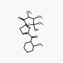 CC1CCCCN1C(=O)c1csc(C(=O)N(C)C(C)C(C)(C)O)n1